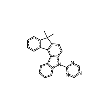 CC1(C)c2ccccc2-c2c1ccc1c2c2ccccc2n1-c1ncncn1